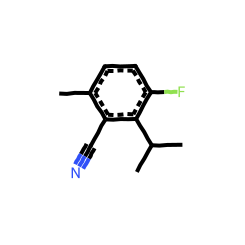 Cc1ccc(F)c(C(C)C)c1C#N